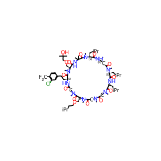 CC(C)CCOC[C@H]1C(=O)N(C)CC(=O)N[C@@H](CCc2ccc(C(F)(F)F)c(Cl)c2)C(=O)N(C)[C@@H](COCC(C)(C)O)C(=O)NC(C)(C)C(=O)N(C)[C@@H](CC(C)C)C(=O)N[C@H](C)CC(=O)N(C)[C@@H](CC(C)C)C(=O)N[C@@H](CC(C)C)C(=O)N(C)CC(=O)N(C)CC(=O)N1C